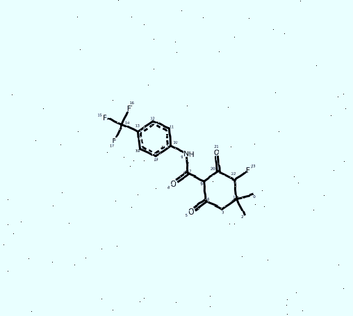 CC1(C)CC(=O)C(C(=O)Nc2ccc(C(F)(F)F)cc2)C(=O)C1F